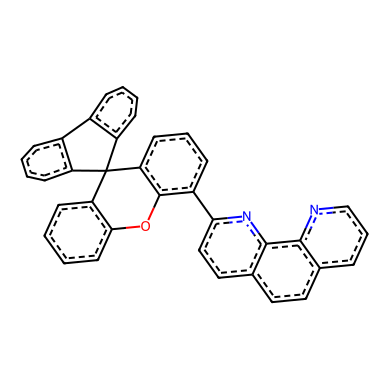 c1ccc2c(c1)Oc1c(-c3ccc4ccc5cccnc5c4n3)cccc1C21c2ccccc2-c2ccccc21